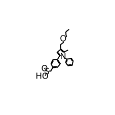 CCCOCCc1cc(-c2ccc(CS(=O)O)cc2)n(-c2ccccc2)c1C